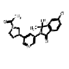 CC(=O)N1CCC(c2cncc(N3C(=O)c4ccc(Cl)cc4C3(C)C)c2)C1